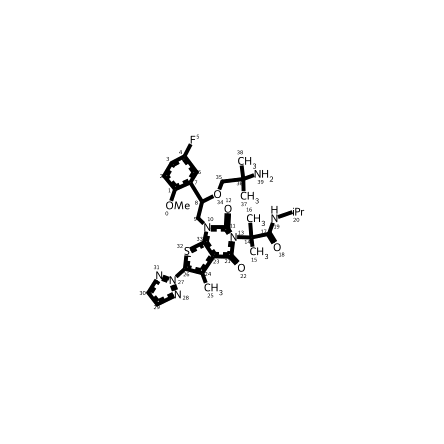 COc1ccc(F)cc1C(Cn1c(=O)n(C(C)(C)C(=O)NC(C)C)c(=O)c2c(C)c(-n3nccn3)sc21)OCC(C)(C)N